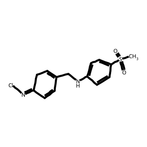 CS(=O)(=O)c1ccc(NCC2=CCC(=NCl)C=C2)cc1